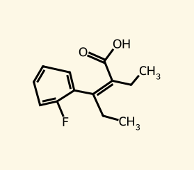 CCC(C(=O)O)=C(CC)c1ccccc1F